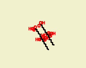 CCCCCCCCC(C(O)CCCCCCCC(=O)O)S(=O)(=O)O.CCCCCCCCC(C(O)CCCCCCCC(=O)OO)S(=O)(=O)O